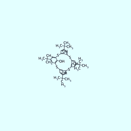 CC(C)(C)c1cc2c(O)c(c1)Sc1cc(C(C)(C)C)cc(c1O)Sc1cc(C(C)(C)C)cc(c1O)Sc1cc(C(C)(C)C)cc(c1O)S2